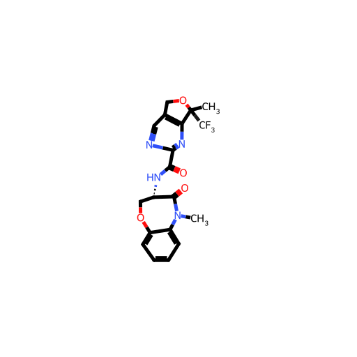 CN1C(=O)[C@@H](NC(=O)c2ncc3c(n2)C(C)(C(F)(F)F)OC3)COc2ccccc21